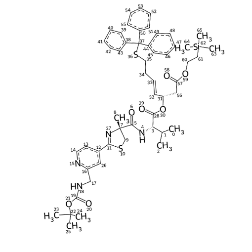 CC(C)[C@H](NC(=O)[C@]1(C)CSC(c2ccnc(CNC(=O)OC(C)(C)C)c2)=N1)C(=O)O[C@H](/C=C/CCSC(c1ccccc1)(c1ccccc1)c1ccccc1)CC(=O)OCC[Si](C)(C)C